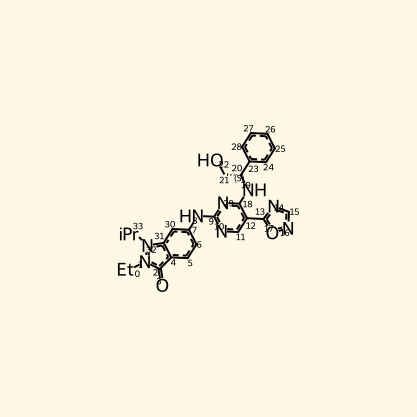 CCn1c(=O)c2ccc(Nc3ncc(-c4ncno4)c(N[C@H](CO)c4ccccc4)n3)cc2n1C(C)C